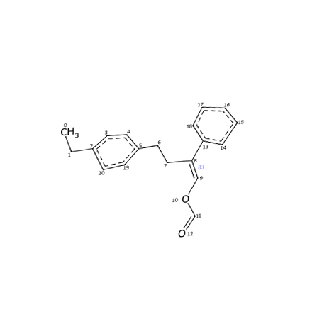 CCc1ccc(CC/C(=C\OC=O)c2ccccc2)cc1